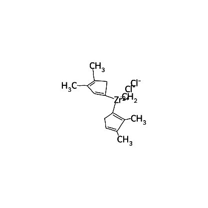 [CH2]=[Zr+2]([C]1=CC(C)=C(C)C1)[C]1=C(C)C(C)=CC1.[Cl-].[Cl-]